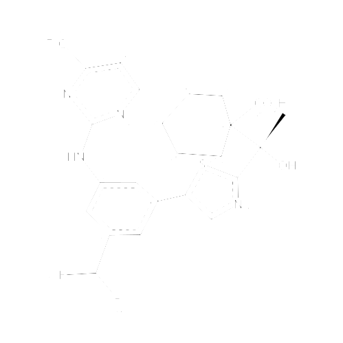 C[C@@](O)(c1ncc(-c2cc(Nc3nccc(C(F)(F)F)n3)cc(C(F)F)c2)s1)C1(C(=O)O)CCCCC1